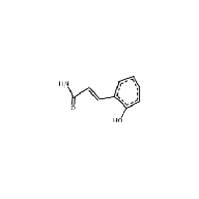 NC(=O)C=Cc1ccccc1O